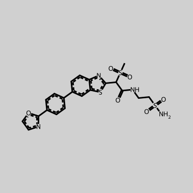 CS(=O)(=O)C(C(=O)NCCS(N)(=O)=O)c1nc2ccc(-c3ccc(-c4ncco4)cc3)cc2s1